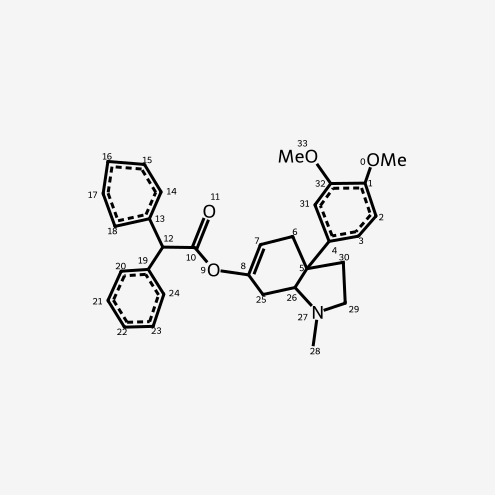 COc1ccc(C23CC=C(OC(=O)C(c4ccccc4)c4ccccc4)CC2N(C)CC3)cc1OC